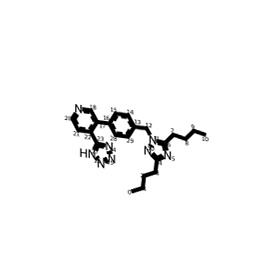 CCCCc1nc(CCCC)n(Cc2ccc(-c3cnccc3-c3nnn[nH]3)cc2)n1